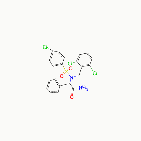 NC(=O)C(c1ccccc1)N(Cc1c(Cl)cccc1Cl)S(=O)(=O)c1ccc(Cl)cc1